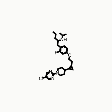 CCCC(Cc1ccc(OCCC2CC2C2CCN(c3ncc(Cl)cn3)CC2)cc1F)NC(C)C